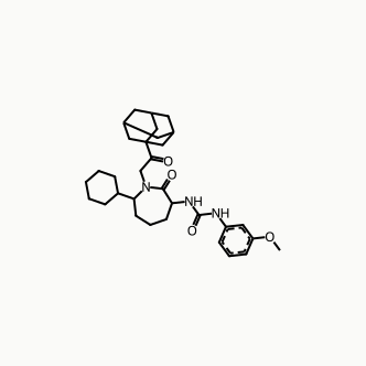 COc1cccc(NC(=O)NC2CCCC(C3CCCCC3)N(CC(=O)C34CC5CC(CC(C5)C3)C4)C2=O)c1